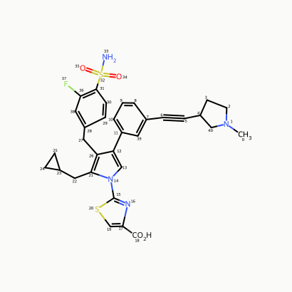 CN1CCC(C#Cc2cccc(-c3cn(-c4nc(C(=O)O)cs4)c(CC4CC4)c3Cc3ccc(S(N)(=O)=O)c(F)c3)c2)C1